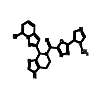 Cn1cncc1-c1nnc(C(=O)N2CCc3[nH]cnc3C2c2cc3cccc(Cl)n3n2)o1